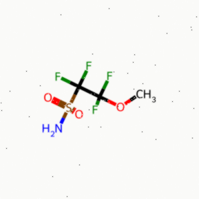 COC(F)(F)C(F)(F)S(N)(=O)=O